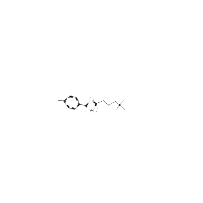 Cc1ccc(-c2nc(CCCC(C)(C)C)no2)cc1